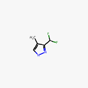 CC1=C[N]N=C1C(F)F